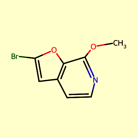 COc1nccc2cc(Br)oc12